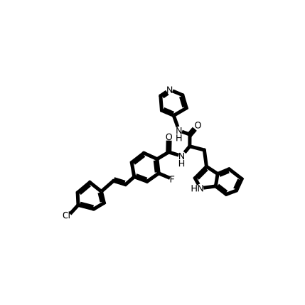 O=C(NC(Cc1c[nH]c2ccccc12)C(=O)Nc1ccncc1)c1ccc(C=Cc2ccc(Cl)cc2)cc1F